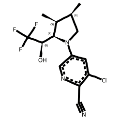 C[C@@H]1[C@H]([C@@H](O)C(F)(F)F)N(c2cnc(C#N)c(Cl)c2)C[C@@H]1C